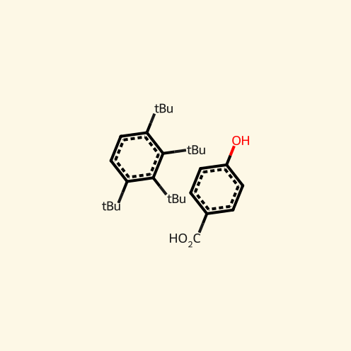 CC(C)(C)c1ccc(C(C)(C)C)c(C(C)(C)C)c1C(C)(C)C.O=C(O)c1ccc(O)cc1